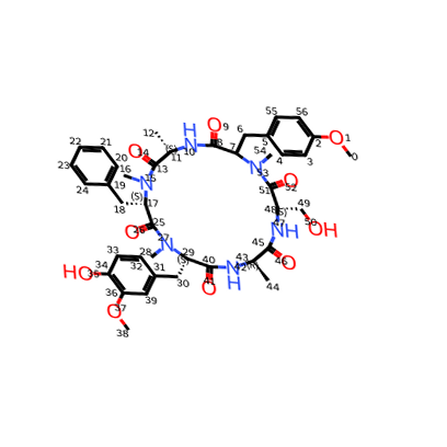 COc1ccc(CC2C(=O)N[C@@H](C)C(=O)N(C)[C@@H](Cc3ccccc3)C(=O)N(C)[C@@H](Cc3ccc(O)c(OC)c3)C(=O)N[C@H](C)C(=O)N[C@@H](CO)C(=O)N2C)cc1